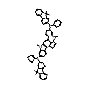 CN1c2cc(N(c3ccccc3)c3ccc4c(c3)C(C)(C)c3ccccc3-4)ccc2-c2cc3c(c4cccc1c24)c1ccc(N(c2ccccc2)c2ccc4c(c2)C(C)(C)c2ccccc2-4)cc1n3C